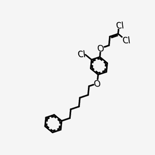 ClC(Cl)=CCOc1ccc(OCCCCCCc2ccccc2)cc1Cl